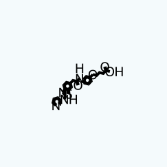 O=C(O)CCCOc1cccc(NC(=O)Cc2ccc3nc(Nc4cccnc4)sc3c2)c1